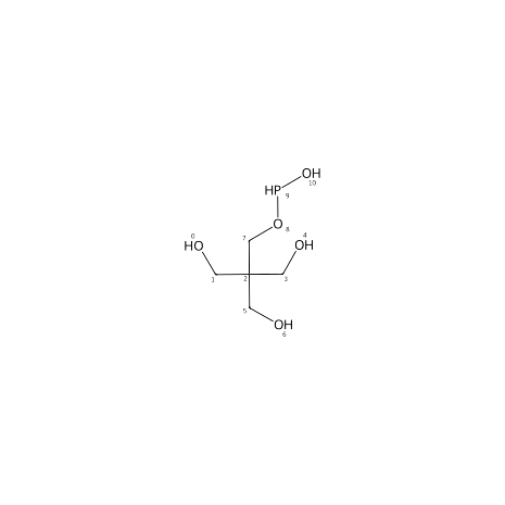 OCC(CO)(CO)COPO